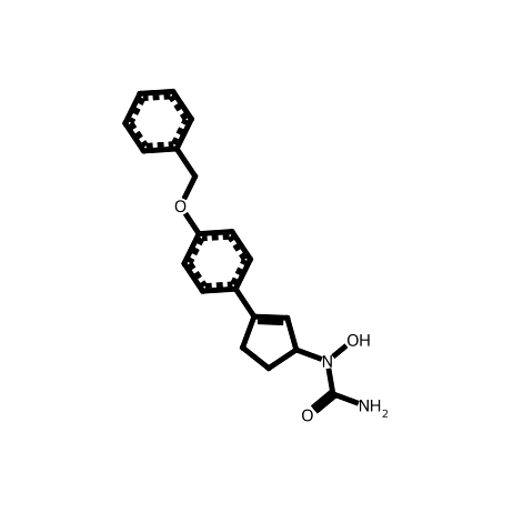 NC(=O)N(O)C1C=C(c2ccc(OCc3ccccc3)cc2)CC1